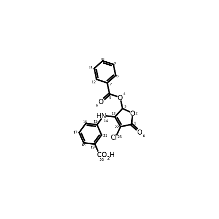 O=C1OC(OC(=O)c2ccccc2)C(Nc2cccc(C(=O)O)c2)=C1Cl